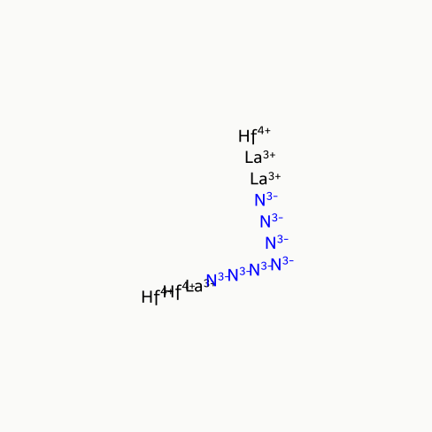 [Hf+4].[Hf+4].[Hf+4].[La+3].[La+3].[La+3].[N-3].[N-3].[N-3].[N-3].[N-3].[N-3].[N-3]